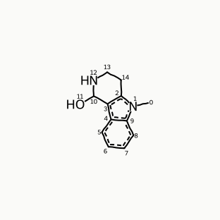 Cn1c2c(c3ccccc31)C(O)NCC2